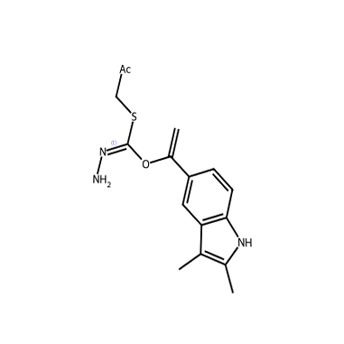 C=C(O/C(=N\N)SCC(C)=O)c1ccc2[nH]c(C)c(C)c2c1